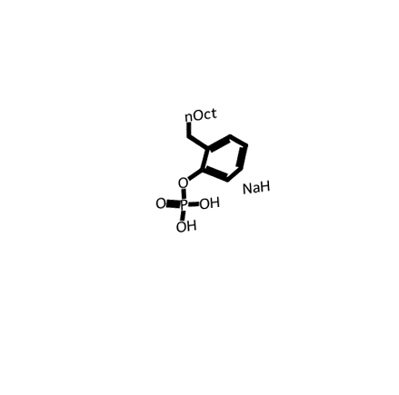 CCCCCCCCCc1ccccc1OP(=O)(O)O.[NaH]